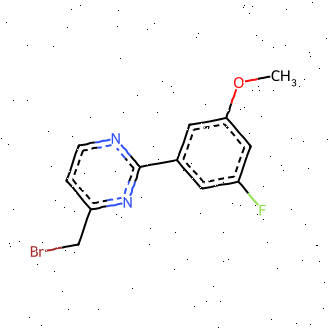 COc1cc(F)cc(-c2nccc(CBr)n2)c1